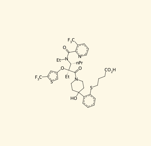 CCC[C@@H](N(CC)C(=O)c1ncccc1C(F)(F)F)[C@](CC)(Oc1csc(C(F)(F)F)c1)C(=O)N1CCC(O)(c2ccccc2SCCCC(=O)O)CC1